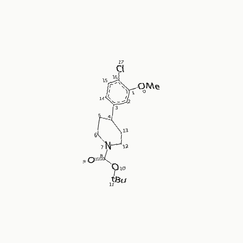 COc1cc(C2CCN(C(=O)OC(C)(C)C)CC2)ccc1Cl